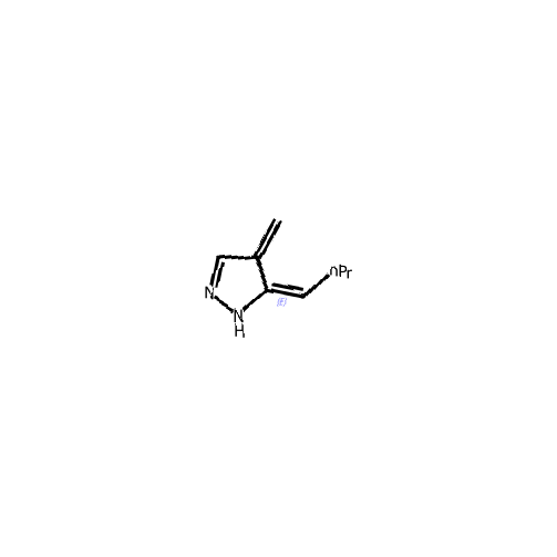 C=c1cn[nH]/c1=C/CCC